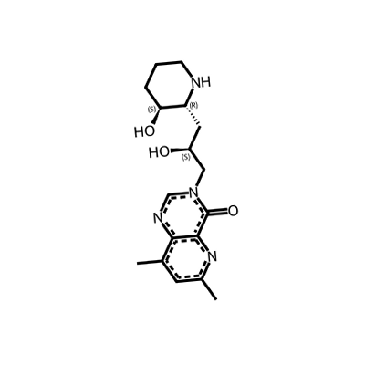 Cc1cc(C)c2ncn(C[C@@H](O)C[C@H]3NCCC[C@@H]3O)c(=O)c2n1